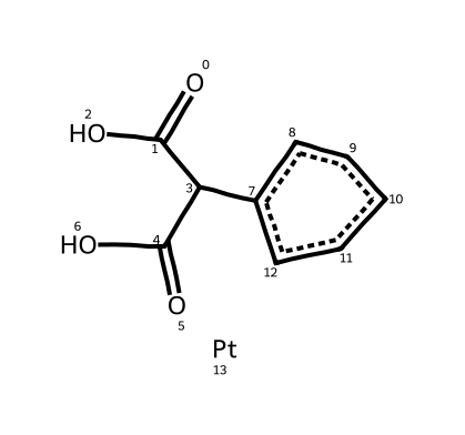 O=C(O)C(C(=O)O)c1ccccc1.[Pt]